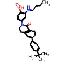 CCCCNc1cc(N2CCc3cc(-c4ccc(C(C)(C)C)cc4)ccc3C2=O)ccc1O